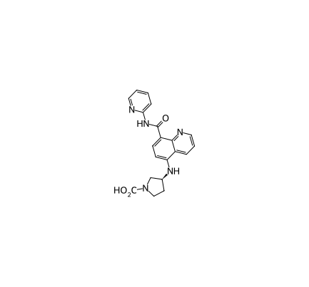 O=C(Nc1ccccn1)c1ccc(N[C@H]2CCN(C(=O)O)C2)c2cccnc12